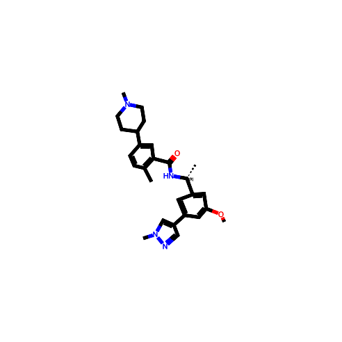 COc1cc(-c2cnn(C)c2)cc([C@@H](C)NC(=O)c2cc(C3CCN(C)CC3)ccc2C)c1